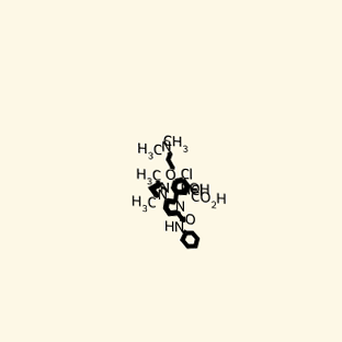 Cc1cc(C)n(-c2ccc(C(=O)NC3CCCCC3)nc2-c2ccc(Cl)c(OCCCN(C)C)c2)n1.Cl.O=C(O)O